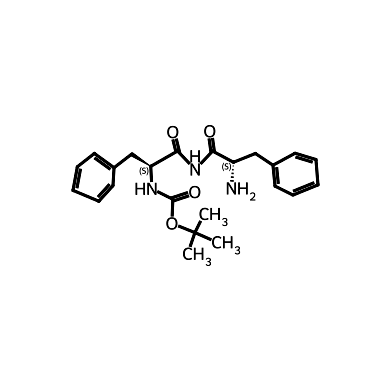 CC(C)(C)OC(=O)N[C@@H](Cc1ccccc1)C(=O)NC(=O)[C@@H](N)Cc1ccccc1